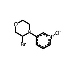 [O-][n+]1cccc(N2CCOCC2Br)c1